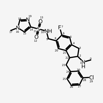 CNC1Cc2cc(F)c(CNS(=O)(=O)c3cn(C)cn3)cc2C1Cc1cccc(Cl)c1